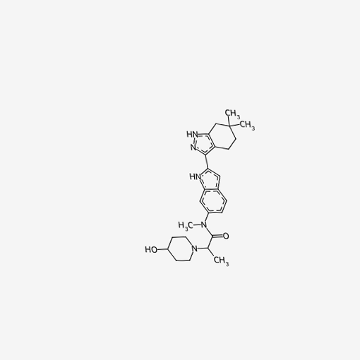 CC(C(=O)N(C)c1ccc2cc(-c3n[nH]c4c3CCC(C)(C)C4)[nH]c2c1)N1CCC(O)CC1